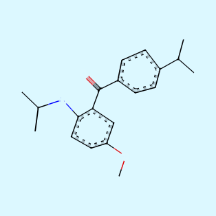 COc1ccc(NC(C)C)c(C(=O)c2ccc(C(C)C)cc2)c1